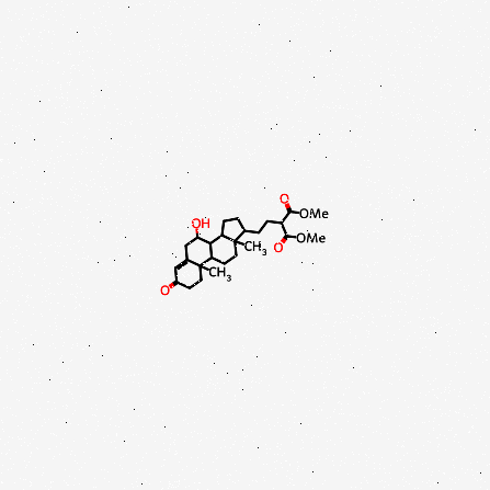 COC(=O)C(CCC1CCC2C3C(O)CC4=CC(=O)CCC4(C)C3CCC12C)C(=O)OC